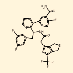 NC(=O)c1cc(-c2cccnc2[C@H](Cc2cc(F)cc(F)c2)NC(=O)Cn2nc(C(F)(F)F)c3c2CSC3)ccc1F